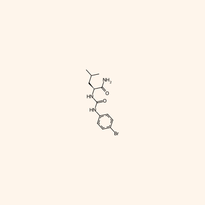 CC(C)C[C@H](NC(=O)Nc1ccc(Br)cc1)C(N)=O